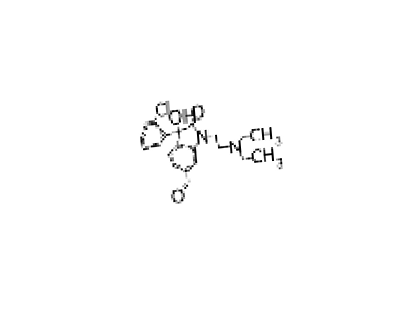 CCN(CC)CCN1C(=O)C(O)(c2ccccc2Cl)c2ccc(C=O)cc21